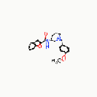 COc1ccc(CN2CCCC(NC(=O)c3cc4ccccc4o3)C2)cc1